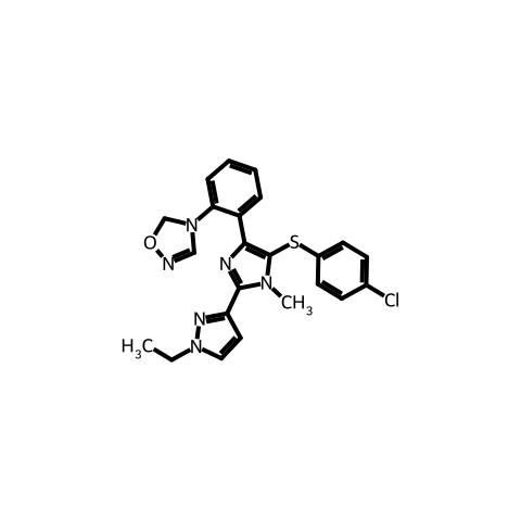 CCn1ccc(-c2nc(-c3ccccc3N3C=NOC3)c(Sc3ccc(Cl)cc3)n2C)n1